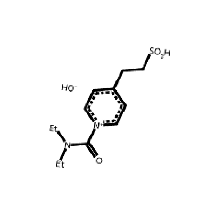 CCN(CC)C(=O)[n+]1ccc(CCS(=O)(=O)O)cc1.[OH-]